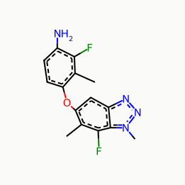 Cc1c(Oc2cc3nnn(C)c3c(F)c2C)ccc(N)c1F